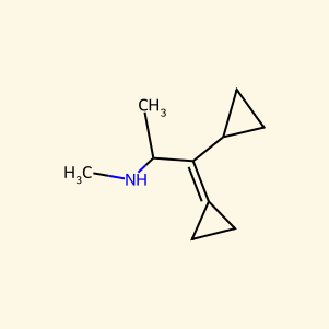 CNC(C)C(=C1CC1)C1CC1